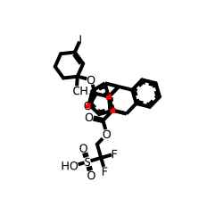 CC1(OC(=O)C2C(C(=O)OCC(F)(F)S(=O)(=O)O)C3c4ccccc4C24c2cccc3c24)C=C(I)CCC1